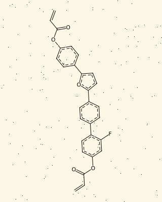 C=CC(=O)Oc1ccc(-c2ccc(-c3ccc(-c4ccc(OC(=O)C=C)cc4F)cc3)o2)cc1